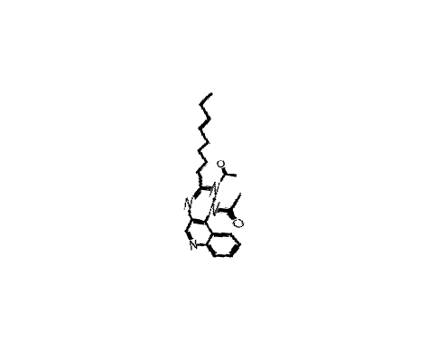 CCCCCCCCC1=Nc2cnc3ccccc3c2N(C(C)=O)N1C(C)=O